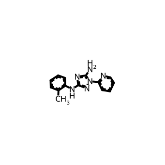 Cc1ccccc1Nc1nc(N)n(-c2ccccn2)n1